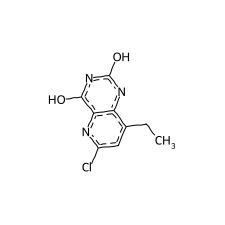 CCc1cc(Cl)nc2c(O)nc(O)nc12